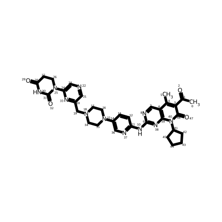 CC(=O)c1c(C)c2cnc(Nc3ccc(N4CCN(Cc5cncc(N6CCC(=O)NC6=O)n5)CC4)cn3)nc2n(C2CCCC2)c1=O